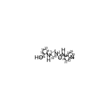 O=C(CN1CCC(Nc2ccccc2CO)CC1)Nc1cccc2ncccc12